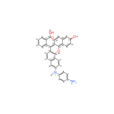 CN(c1ccc(N)cc1)c1ccc2c(ccc3c(-c4ccccc4C(=O)O)c4ccc5cc(=O)ccc5c4oc32)c1